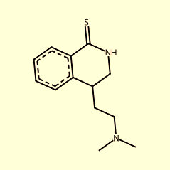 CN(C)CCC1CNC(=S)c2ccccc21